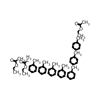 CCOC(C)=O.CCOC(C)=O.CCOC(C)=O.Cc1ccccc1.Cc1ccccc1.Cc1ccccc1.Cc1ccccc1.Cc1ccccc1.Cc1ccccc1.Cc1ccccc1